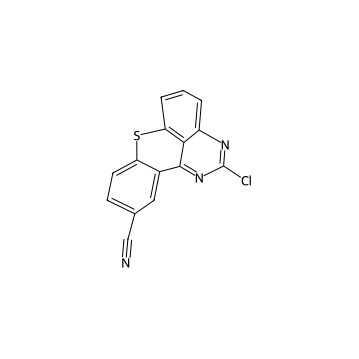 N#Cc1ccc2c(c1)-c1nc(Cl)nc3cccc(c13)S2